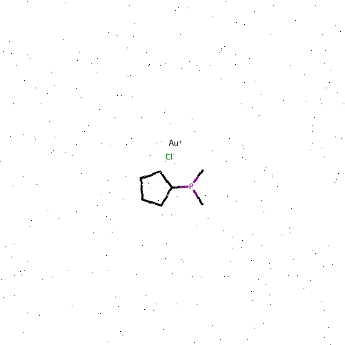 CP(C)C1CCCC1.[Au+].[Cl-]